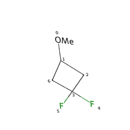 COC1CC(F)(F)C1